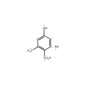 Cc1cc(O)ccc1C(=O)O.[KH]